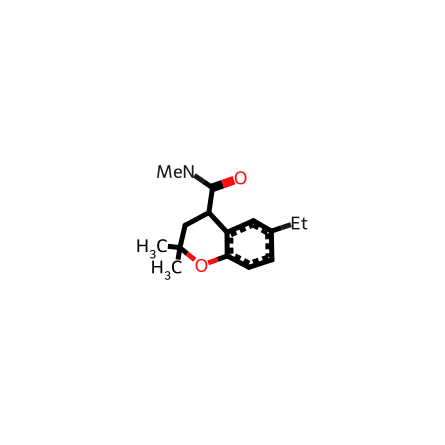 CCc1ccc2c(c1)C(C(=O)NC)CC(C)(C)O2